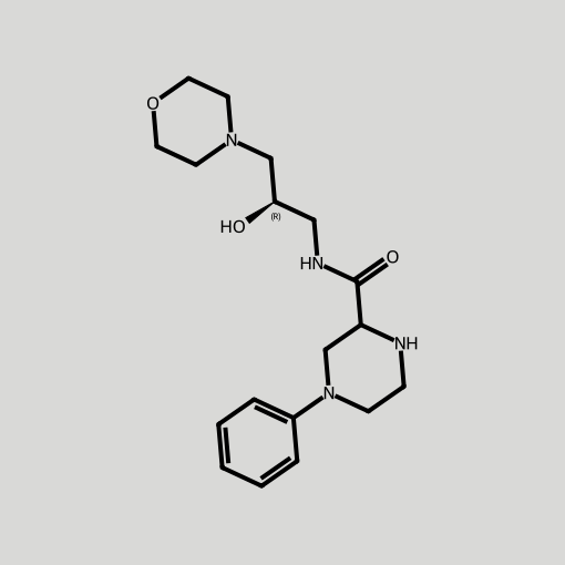 O=C(NC[C@@H](O)CN1CCOCC1)C1CN(c2ccccc2)CCN1